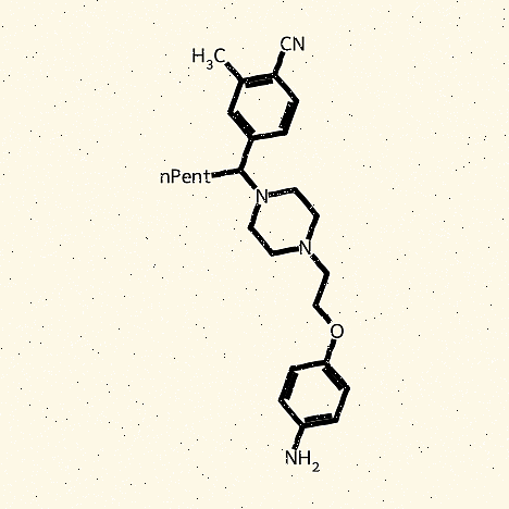 CCCCCC(c1ccc(C#N)c(C)c1)N1CCN(CCOc2ccc(N)cc2)CC1